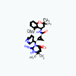 COc1cccc2c1C(NC(=O)[C@@H]1CC1[C@@H](c1cccnc1)N1C(=N)NC(C)(C)CC1=O)CC(C)(C)O2